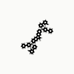 Cc1cccc2c1oc1c(N(c3ccc(-c4ccccc4)cc3)c3ccc4cc5c(cc4c3)C(C)(C)c3cc4cc(N(c6ccc(-c7ccccc7)cc6)c6cccc7c6oc6c(C)cccc67)ccc4cc3-5)cccc12